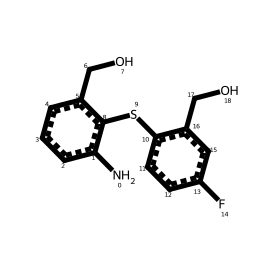 Nc1cccc(CO)c1Sc1ccc(F)cc1CO